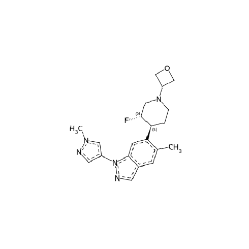 Cc1cc2cnn(-c3cnn(C)c3)c2cc1[C@@H]1CCN(C2COC2)C[C@H]1F